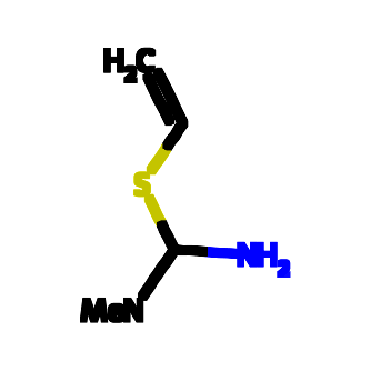 C=CSC(N)NC